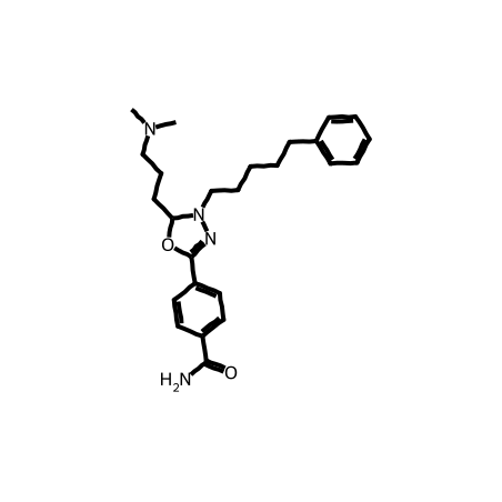 CN(C)CCCC1OC(c2ccc(C(N)=O)cc2)=NN1CCCCCc1ccccc1